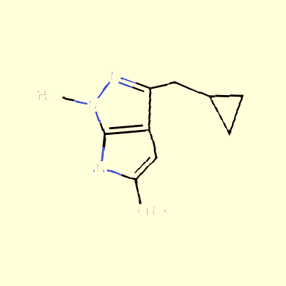 Cn1nc(CC2CC2)c2cc(C=O)[nH]c21